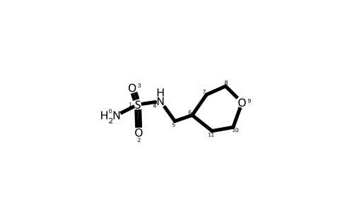 NS(=O)(=O)NCC1CCOCC1